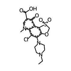 CCN1CCN(c2c3c(c4c(=O)c(C(=O)O)cn(C)c4c2Cl)S(=O)(=O)CO3)CC1